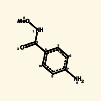 CONC(=O)c1ccc(N)cc1